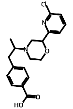 CC(Cc1ccc(C(=O)O)cc1)N1CCOC(c2cccc(Cl)n2)C1